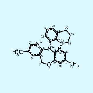 Cc1cnc2c(c1)COc1cc(C)cnc1N2c1cccc2c1OCCC2